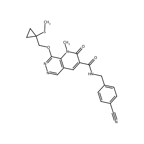 CSC1(COc2nncc3cc(C(=O)NCc4ccc(C#N)cc4)c(=O)n(C)c23)CC1